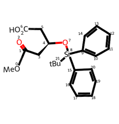 COC(=O)C[C@@H](CC(=O)O)O[Si](c1ccccc1)(c1ccccc1)C(C)(C)C